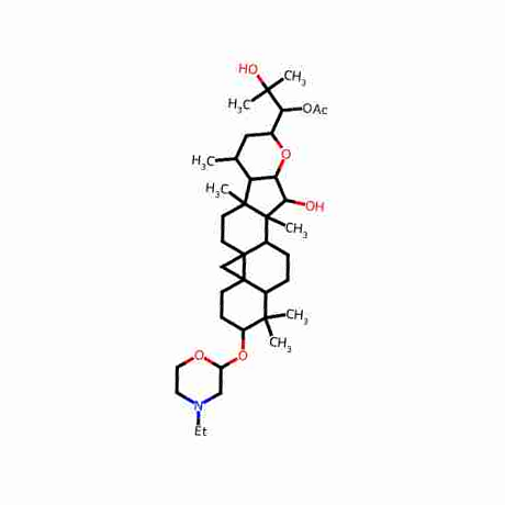 CCN1CCOC(OC2CCC34CC35CCC3(C)C6C(C)CC(C(OC(C)=O)C(C)(C)O)OC6C(O)C3(C)C5CCC4C2(C)C)C1